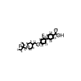 CCC(F)(CC)CN1CCC(COc2ccc(-c3ccc(C(=O)O)cc3)c(F)c2)CC1